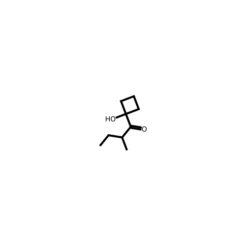 CCC(C)C(=O)C1(O)CCC1